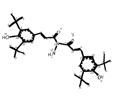 CC(C)(C)c1cc(C=CC(=O)N(N)C(=O)C=Cc2cc(C(C)(C)C)c(O)c(C(C)(C)C)c2)cc(C(C)(C)C)c1O